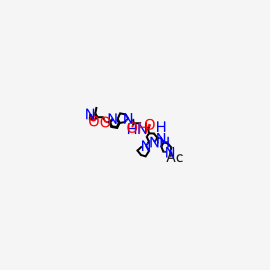 CC(=O)N1CCC(NC2CC(C(=O)NCC(O)CN3CCc4nc(OCc5ocnc5C)ccc4C3)CC(N3CCCCC3)N2)CC1